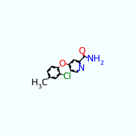 Cc1ccc(Oc2ccnc(C(N)=O)c2)c(Cl)c1